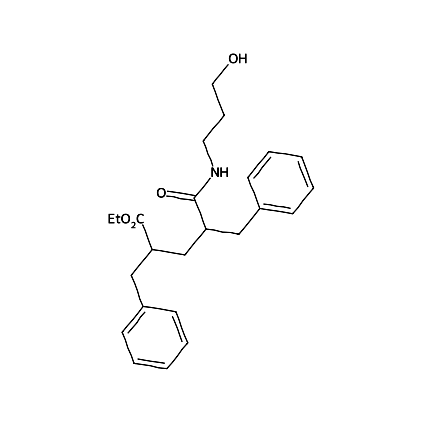 CCOC(=O)C(Cc1ccccc1)CC(Cc1ccccc1)C(=O)NCCCO